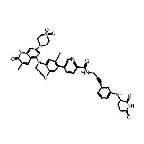 Cc1cc2c(N3CCOc4cc(-c5ccc(C(=O)NCC#Cc6cccc(NC7CCC(=O)NC7=O)c6)nc5)c(F)cc43)cc(N3CCS(=O)(=O)CC3)cc2n(C)c1=O